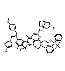 COc1ccc(CN(Cc2ccc(OC)cc2)c2cc(-c3nc4c5c(nc(OC[C@@]67CCCN6C[C@H](F)C7)nc5c3F)N(CCO[Si](c3ccccc3)(c3ccccc3)C(C)(C)C)[C@@H](C)CO4)c(C(F)(F)F)c(C)n2)cc1